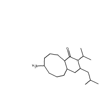 BC1CCCC2CC(CC(C)C)N(C(C)C)C(=O)C2CCC1